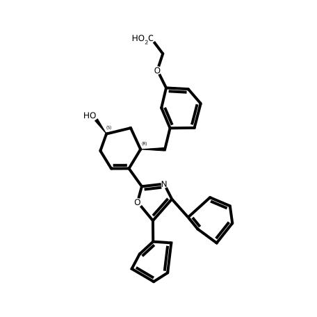 O=C(O)COc1cccc(C[C@@H]2C[C@H](O)CC=C2c2nc(-c3ccccc3)c(-c3ccccc3)o2)c1